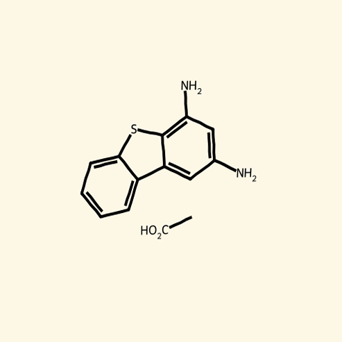 CC(=O)O.Nc1cc(N)c2sc3ccccc3c2c1